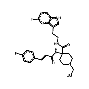 CC(C)(C)CN1CCC(NC(=O)/C=C/c2ccc(F)cc2)(C(=O)NCCc2c[nH]c3ccc(F)cc23)CC1